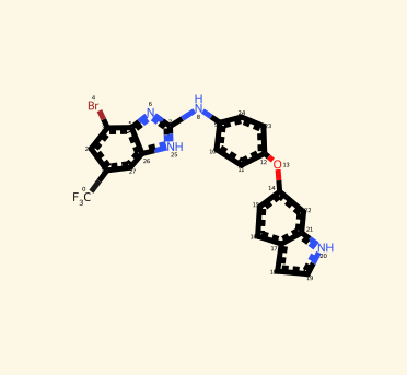 FC(F)(F)c1cc(Br)c2nc(Nc3ccc(Oc4ccc5cc[nH]c5c4)cc3)[nH]c2c1